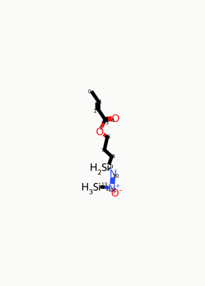 CC=CC(=O)OCCC[SiH2]N=[N+]([O-])[SiH3]